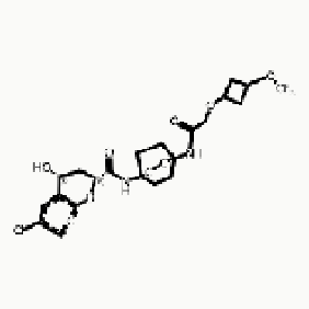 O=C(COC1CC(OC(F)(F)F)C1)NC12CCC(NC(=O)[C@H]3C[C@@H](O)c4cc(Cl)ccc4O3)(CC1)CC2